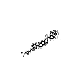 Cc1ccc(C(=O)NCc2cc3nc(-c4cccc(OCCNCC(F)(F)F)n4)ccc3cn2)cc1S(C)(=O)=O